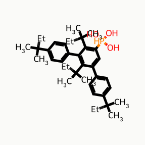 CCC(C)(C)c1ccc(-c2cc([PH](O)(O)O)c(C(C)(C)CC)c(-c3ccc(C(C)(C)CC)cc3)c2C(C)(C)CC)cc1